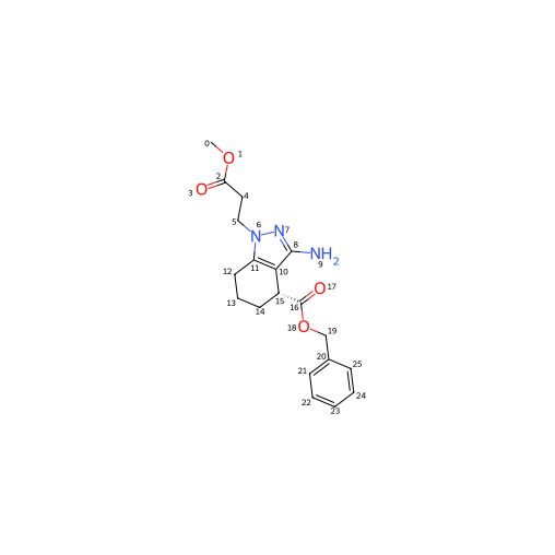 COC(=O)CCn1nc(N)c2c1CCC[C@H]2C(=O)OCc1ccccc1